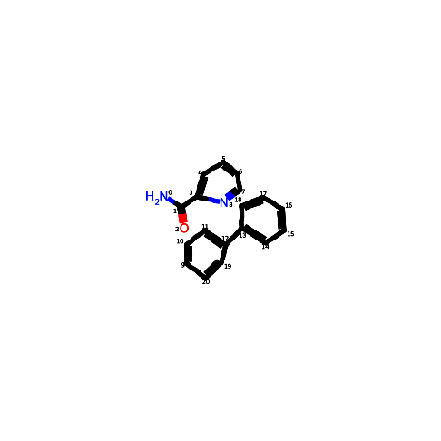 NC(=O)c1ccccn1.c1ccc(-c2ccccc2)cc1